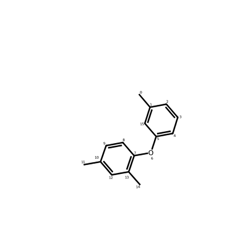 Cc1cccc(Oc2ccc(C)cc2C)c1